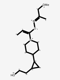 C/C=C(/O/N=C(\C)COC)N1CCC(C2CC2CCO)CC1